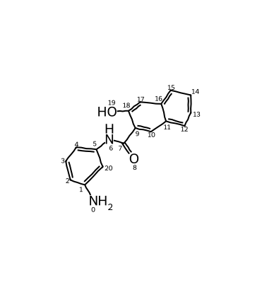 Nc1cccc(NC(=O)c2cc3ccccc3cc2O)c1